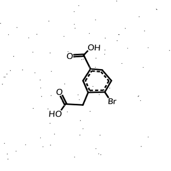 O=C(O)Cc1cc(C(=O)O)ccc1Br